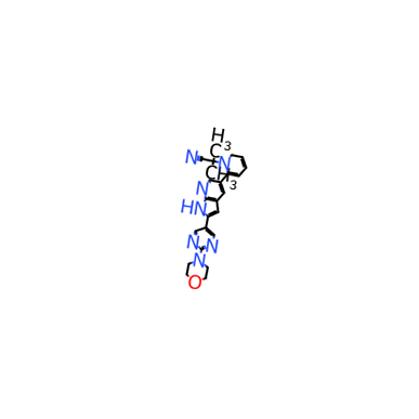 CC(C)(C#N)N1CC=CC=C1c1cnc2[nH]c(-c3cnc(N4CCOCC4)nc3)cc2c1